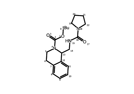 CC(C)(C)OC(=O)N1CCc2ccccc2C1CNC(=O)N1CCCC1